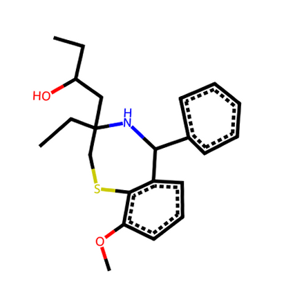 CCC(O)CC1(CC)CSc2c(OC)cccc2C(c2ccccc2)N1